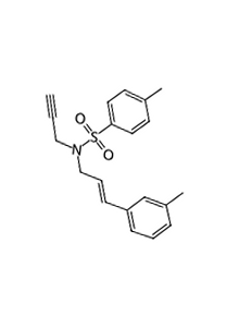 C#CCN(CC=Cc1cccc(C)c1)S(=O)(=O)c1ccc(C)cc1